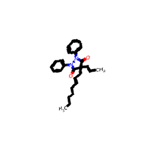 C=CCC1(CC=CCCCCC)C(=O)N(c2ccccc2)N(c2ccccc2)C1=O